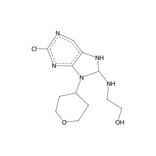 OCCNC1Nc2cnc(Cl)nc2N1C1CCOCC1